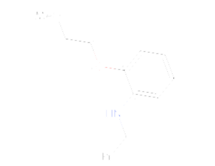 COCCOc1ccccc1NCC(C)C